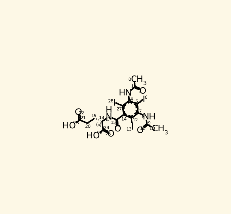 CC(=O)Nc1c(I)c(NC(C)=O)c(I)c(C(=O)N[C@@H](CCC(=O)O)C(=O)O)c1I